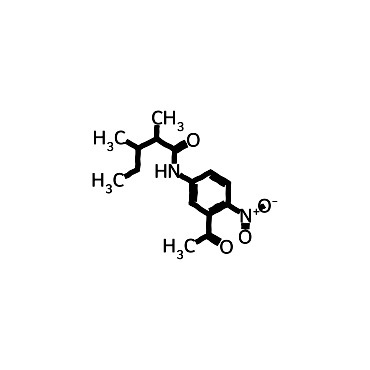 CCC(C)C(C)C(=O)Nc1ccc([N+](=O)[O-])c(C(C)=O)c1